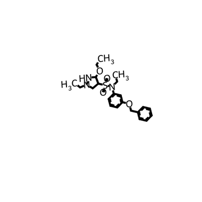 CCOC1NN(CC)CC1S(=O)(=O)N(CC)c1cccc(OCc2ccccc2)c1